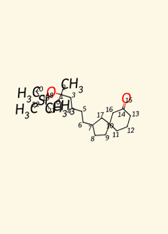 CC(C)(CCCCC1CCC2(CCCC(=O)C2)C1)O[Si](C)(C)C